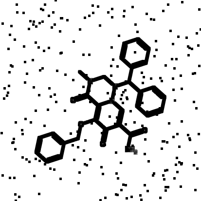 CN1CN(C(c2ccccc2)c2ccccc2)n2cc(C(N)=O)c(=O)c(OCc3ccccc3)c2C1=O